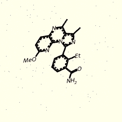 CCc1c(C(N)=O)cccc1-c1nc(C)c2c(C)nc3ccc(OC)nc3n12